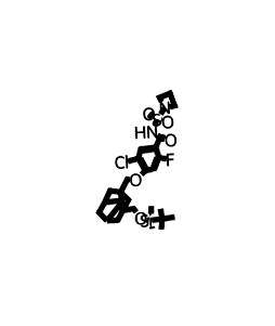 CC(C)(C)[Si](C)(C)OCC12CC3CC(CC(COc4cc(F)c(C(=O)NS(=O)(=O)N5CCC5)cc4Cl)(C3)C1)C2